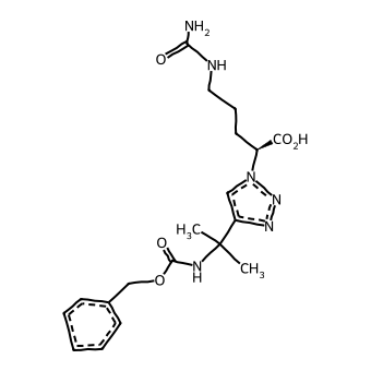 CC(C)(NC(=O)OCc1ccccc1)c1cn([C@@H](CCCNC(N)=O)C(=O)O)nn1